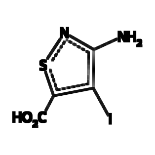 Nc1nsc(C(=O)O)c1I